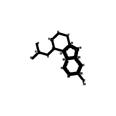 CN(C)CC1OCCn2nc3cc(F)ccc3c21